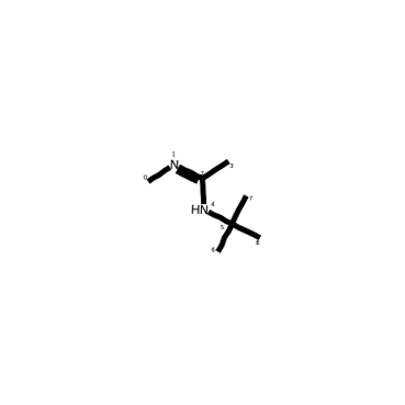 CN=C(C)NC(C)(C)C